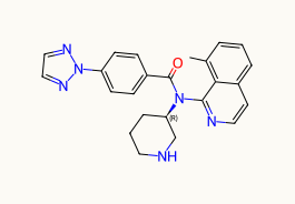 Cc1cccc2ccnc(N(C(=O)c3ccc(-n4nccn4)cc3)[C@@H]3CCCNC3)c12